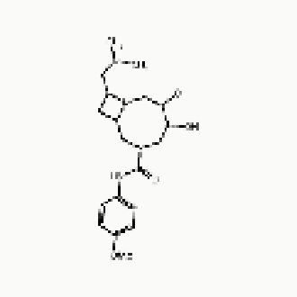 COc1ccc(NC(=O)N2CC(O)C(O)CN3C(CN(C)C)CC3C2)cc1